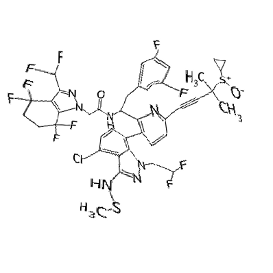 CSNc1nn(CC(F)F)c2c(-c3ccc(C#CC(C)(C)[S+]([O-])C4CC4)nc3C(Cc3cc(F)cc(F)c3)NC(=O)Cn3nc(C(F)F)c4c3C(F)(F)CCC4(F)F)ccc(Cl)c12